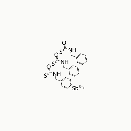 O=C([S-])NCc1ccccc1.O=C([S-])NCc1ccccc1.O=C([S-])NCc1ccccc1.[Sb+3]